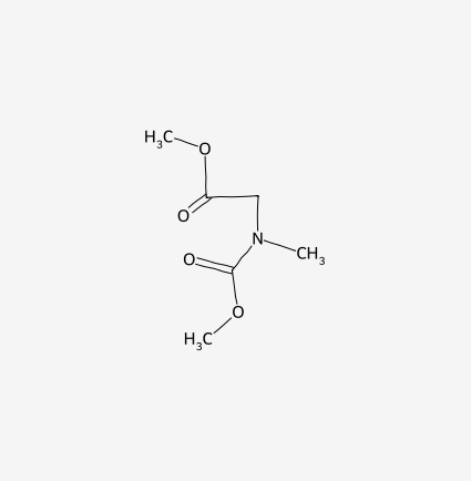 COC(=O)CN(C)C(=O)OC